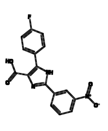 O=C(O)c1nc(-c2cccc([N+](=O)[O-])c2)[nH]c1-c1ccc(F)cc1